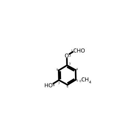 C.O=COc1cccc(O)c1